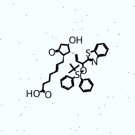 CC(C)(C)[Si](OC(C=C[C@H]1[C@H](O)CC(=O)[C@@H]1CC=CCCCC(=O)O)c1nc2ccccc2s1)(c1ccccc1)c1ccccc1